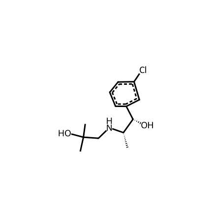 C[C@H](NCC(C)(C)O)[C@@H](O)c1cccc(Cl)c1